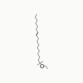 CCCCCC/C=C/CCCCCCCCC(C)(C)OCC